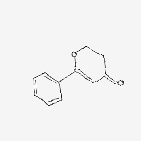 O=C1C=C(c2ccccc2)OCC1